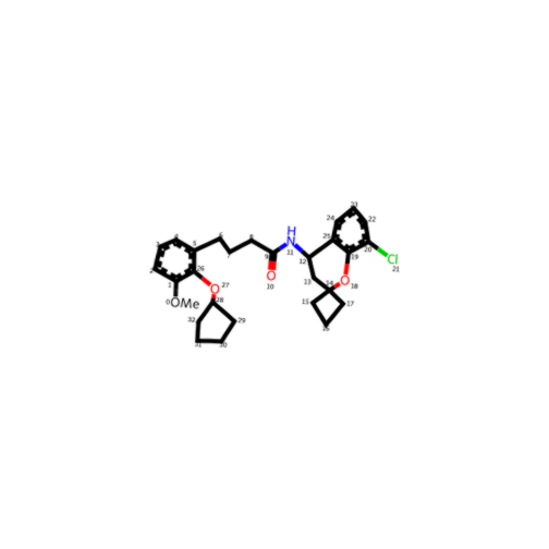 COc1cccc(CCCC(=O)NC2CC3(CCC3)Oc3c(Cl)cccc32)c1OC1CCCC1